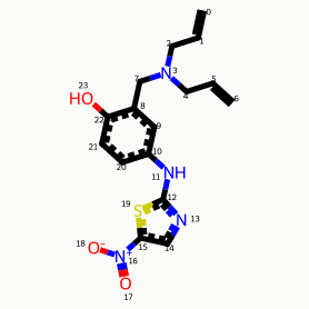 C=CCN(CC=C)Cc1cc(Nc2ncc([N+](=O)[O-])s2)ccc1O